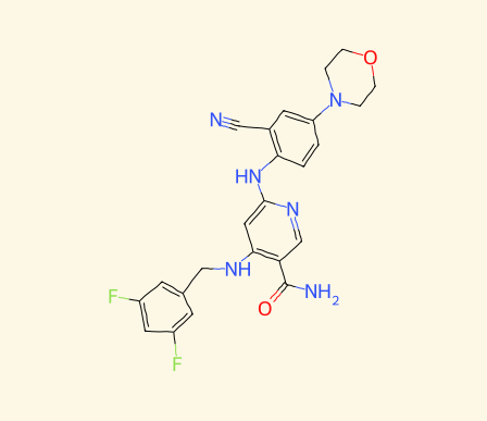 N#Cc1cc(N2CCOCC2)ccc1Nc1cc(NCc2cc(F)cc(F)c2)c(C(N)=O)cn1